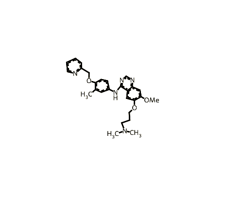 COc1cc2ncnc(Nc3ccc(OCc4ccccn4)c(C)c3)c2cc1OCCCN(C)C